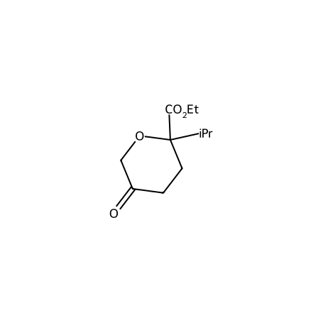 CCOC(=O)C1(C(C)C)CCC(=O)CO1